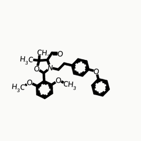 COc1cccc(OC)c1C1OC(C)(C)C(C=O)N1CCc1ccc(Oc2ccccc2)cc1